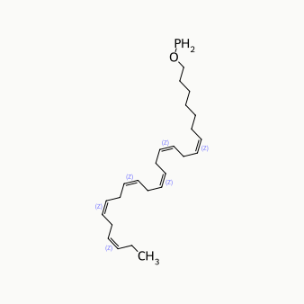 CC/C=C\C/C=C\C/C=C\C/C=C\C/C=C\C/C=C\CCCCCCOP